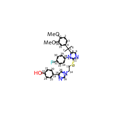 COc1ccc(C(C)(C)c2cnc(SCCn3cnc(-c4ccc(O)cc4)c3)n2-c2ccc(F)cc2)cc1OC